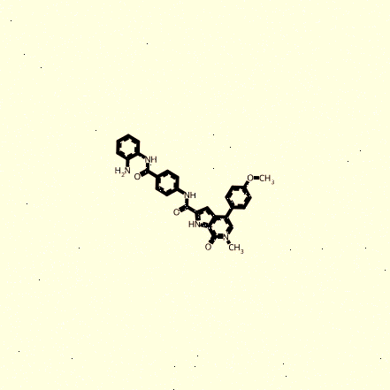 COc1ccc(-c2cn(C)c(=O)c3[nH]c(C(=O)Nc4ccc(C(=O)Nc5ccccc5N)cc4)cc23)cc1